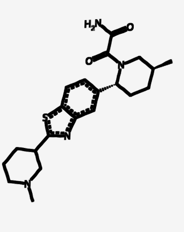 C[C@H]1CC[C@H](c2ccc3sc(C4CCCN(C)C4)nc3c2)N(C(=O)C(N)=O)C1